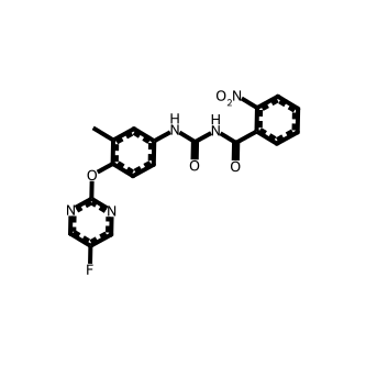 Cc1cc(NC(=O)NC(=O)c2ccccc2[N+](=O)[O-])ccc1Oc1ncc(F)cn1